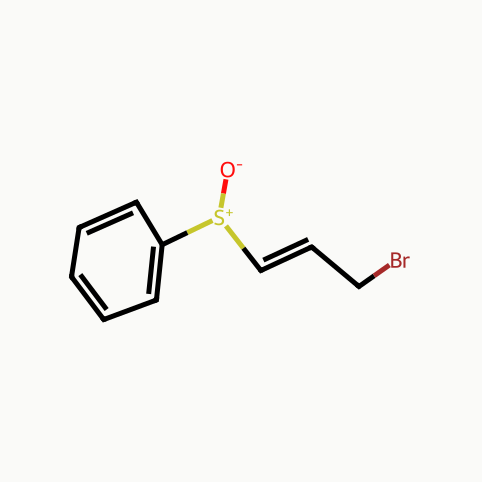 [O-][S+](C=CCBr)c1ccccc1